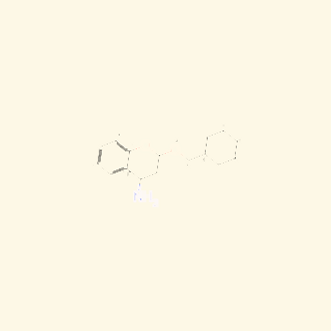 NC1CC(OCC2CCCCC2)Oc2ccccc21